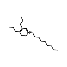 CCCCCCCCC[n+]1ccc(CCC)c(CCC)c1